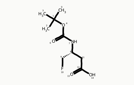 CC(C)(C)OC(=O)N[C@@H](CF)CC(=O)O